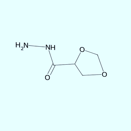 NNC(=O)C1COCO1